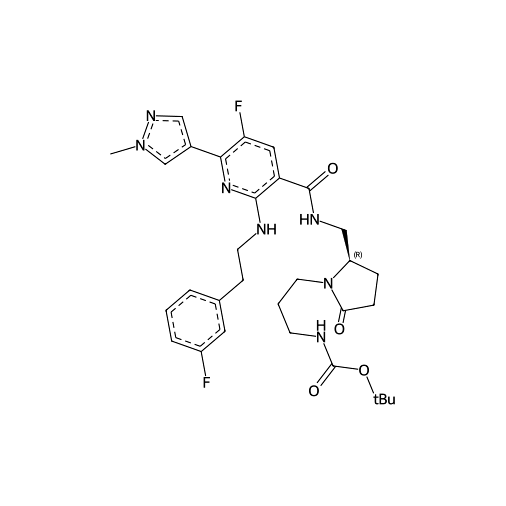 Cn1cc(-c2nc(NCCc3cccc(F)c3)c(C(=O)NC[C@H]3CCC(=O)N3CCCNC(=O)OC(C)(C)C)cc2F)cn1